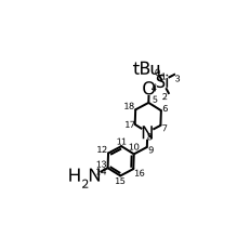 CC(C)(C)[Si](C)(C)OC1CCN(Cc2ccc(N)cc2)CC1